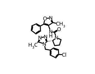 Cc1noc(-c2ccccc2)c1NC(=O)N1CCC[C@@H]1c1nnc(C)n1Cc1ccc(Cl)cc1